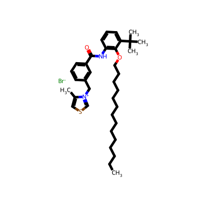 CCCCCCCCCCCCCCOc1c(NC(=O)c2cccc(C[n+]3cscc3C)c2)cccc1C(C)(C)C.[Br-]